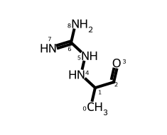 CC(C=O)NNC(=N)N